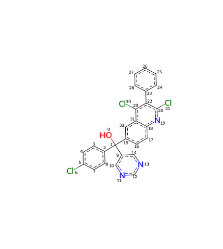 OC(c1ccc(Cl)cc1)(c1cncnc1)c1ccc2nc(Cl)c(-c3ccccc3)c(Cl)c2c1